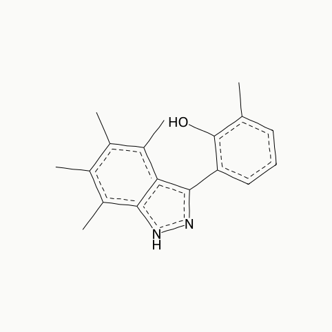 Cc1cccc(-c2n[nH]c3c(C)c(C)c(C)c(C)c23)c1O